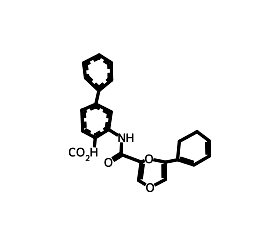 O=C(Nc1cc(-c2ccccc2)ccc1C(=O)O)C1=COC=C(C2=CC=CCC2)O1